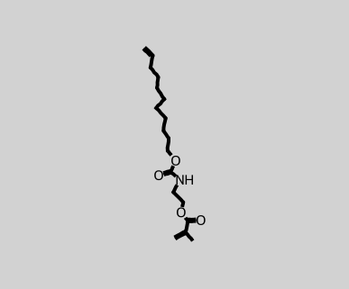 C=CCCCCCCCCCOC(=O)NCCOC(=O)C(=C)C